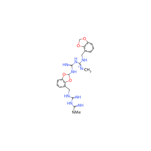 C/N=C(\NCc1cccc2c1OCO2)NC(=N)NC1Oc2cccc(CNC(=N)NC(=N)NC)c2O1